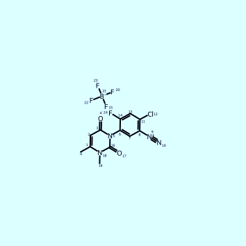 Cc1cc(=O)n(-c2cc([N+]#N)c(Cl)cc2F)c(=O)n1C.F[B-](F)(F)F